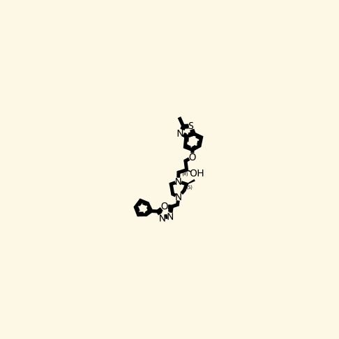 Cc1nc2cc(OC[C@H](O)CN3CCN(Cc4nnc(-c5ccccc5)o4)C[C@@H]3C)ccc2s1